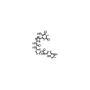 O=C(Nc1cccc(C(=O)Nc2ccc3[nH]ccc3c2)c1)Nc1nnc(-c2cc(Cl)cc(Cl)c2O)s1